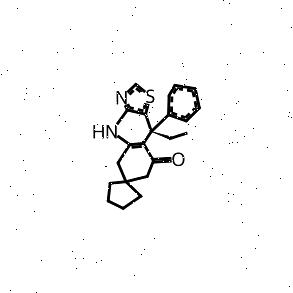 CC[C@@]1(c2ccccc2)C2=C(CC3(CCCC3)CC2=O)Nc2ncsc21